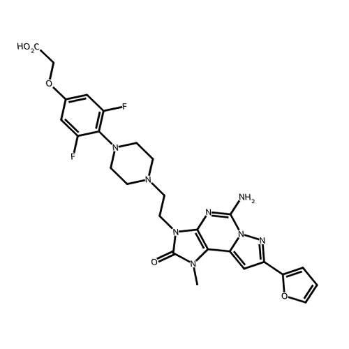 Cn1c(=O)n(CCN2CCN(c3c(F)cc(OCC(=O)O)cc3F)CC2)c2nc(N)n3nc(-c4ccco4)cc3c21